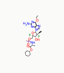 C#C[C@]1(F)[C@H](n2cnc3c(OCC)nc(N)nc32)O[C@](F)(COP(C)(=O)N[C@@H](C)C(=O)OC2CCCCC2)[C@H]1O